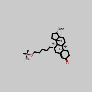 CC(=O)O[C@H]1CC[C@H]2[C@@H]3[C@H](CCCCCO[Si](C)(C)C(C)(C)C)CC4=CC(=O)CC[C@@H]4[C@H]3CC[C@]12C